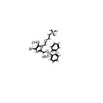 CC(C)(C)[Si](OCc1nc(Br)c(C=O)n1COCC[Si](C)(C)C)(c1ccccc1)c1ccccc1